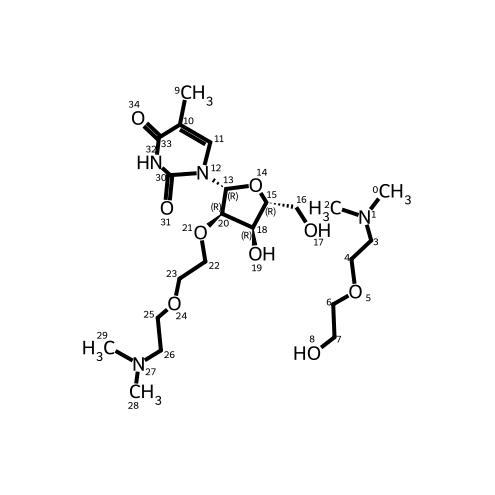 CN(C)CCOCCO.Cc1cn([C@@H]2O[C@H](CO)[C@@H](O)[C@H]2OCCOCCN(C)C)c(=O)[nH]c1=O